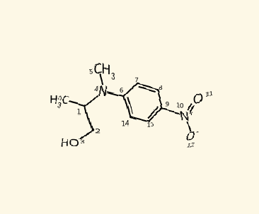 CC(CO)N(C)c1ccc([N+](=O)[O-])cc1